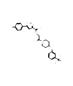 O=C(NCC(=O)N1CCC(Oc2cccc(C(F)(F)F)c2)CC1)c1cc(-c2ccc(F)cc2)on1